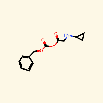 O=C(CNC1CC1)OC(=O)OCc1ccccc1